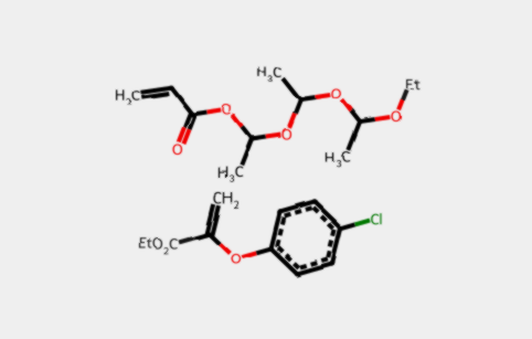 C=C(Oc1ccc(Cl)cc1)C(=O)OCC.C=CC(=O)OC(C)OC(C)OC(C)OCC